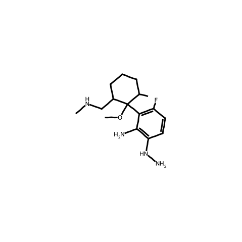 CNCC1CCCC(C)C1(OC)c1c(F)ccc(NN)c1N